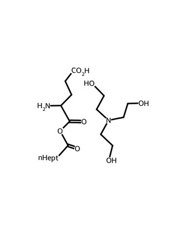 CCCCCCCC(=O)OC(=O)C(N)CCC(=O)O.OCCN(CCO)CCO